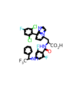 O=C(N[C@@H](Cc1ccc(-c2c(Cl)cc(F)cc2Cl)c2nccn12)C(=O)O)c1c(F)cc(NC(c2ccccc2)C(F)(F)F)cc1F